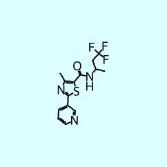 Cc1nc(-c2cccnc2)sc1C(=O)NC(C)CC(F)(F)F